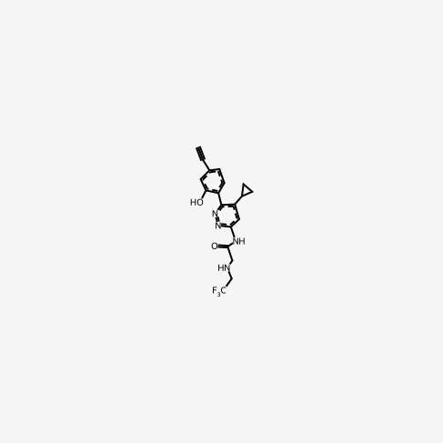 C#Cc1ccc(-c2nnc(NC(=O)CNCC(F)(F)F)cc2C2CC2)c(O)c1